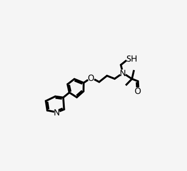 CC(C)(C=O)N(CS)CCCOc1ccc(-c2cccnc2)cc1